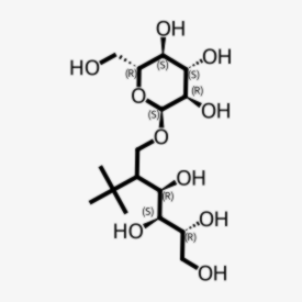 CC(C)(C)C(CO[C@H]1O[C@H](CO)[C@@H](O)[C@H](O)[C@H]1O)[C@@H](O)[C@H](O)[C@H](O)CO